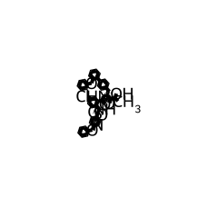 CC(O)C(=O)[C@H](Cc1ccc(-c2ccccc2Oc2ccccc2)cc1)NC(=O)c1cc(Cl)ccc1NS(=O)(=O)c1ccc(Oc2ccccc2)nc1